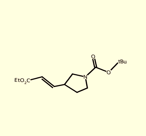 CCOC(=O)/C=C/C1CCN(C(=O)OC(C)(C)C)C1